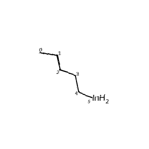 CCCC[CH2][InH2]